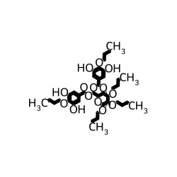 CCCCOc1c(O)cc(C(=O)OCC2O[C@@H](OCCCC)[C@@H](OCCCC)C(OCCCC)[C@@H]2OC(=O)c2cc(O)c(OCCCC)c(O)c2)cc1O